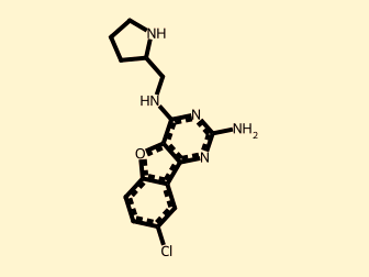 Nc1nc(NCC2CCCN2)c2oc3ccc(Cl)cc3c2n1